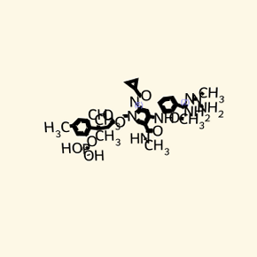 CNC(=O)c1cn(COC(=O)CC(C)(C)c2c(C)cc(C)cc2OP(O)O)/c(=N/C(=O)C2CC2)cc1Nc1cccc(/C(N)=N/N(C)N)c1OC